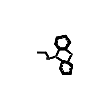 CCNN1c2ccccc2Sc2ccccc21